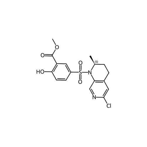 COC(=O)c1cc(S(=O)(=O)N2c3cnc(Cl)cc3CC[C@@H]2C)ccc1O